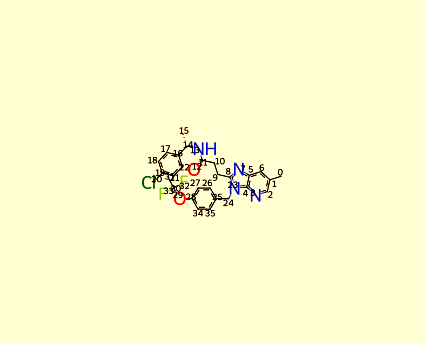 Cc1cnc2c(c1)nc(CCC(=O)N[C@@H](C)c1ccc(Cl)cc1)n2Cc1ccc(OC(C)(F)F)cc1